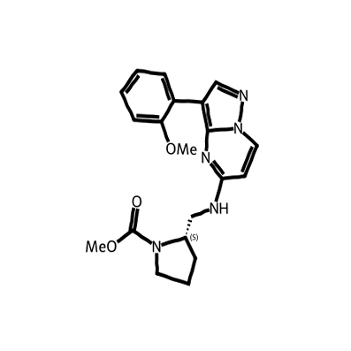 COC(=O)N1CCC[C@H]1CNc1ccn2ncc(-c3ccccc3OC)c2n1